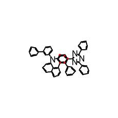 c1ccc(-c2cccc(N(c3cccc(-c4ccccc4)c3)c3cccc4cccc(-c5cccc(-c6nc(-c7ccccc7)nc(-c7ccccc7)n6)c5)c34)c2)cc1